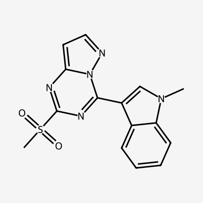 Cn1cc(-c2nc(S(C)(=O)=O)nc3ccnn23)c2ccccc21